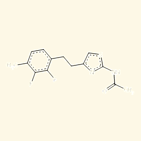 [CH2]c1ccc(CCc2csc(NC(C)=O)n2)c(F)c1F